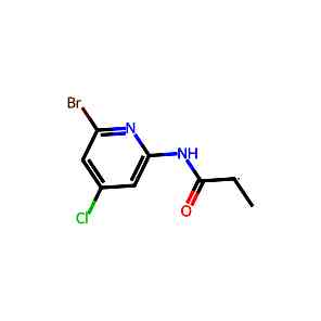 C[CH]C(=O)Nc1cc(Cl)cc(Br)n1